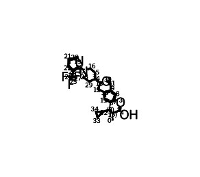 C[C@H](C(=O)O)[C@H](c1ccc2c(c1)CC(C1CCN(c3ncccc3C(F)(F)F)CC1)OC2)C1CC1